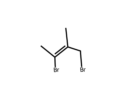 C/C(Br)=C(\C)CBr